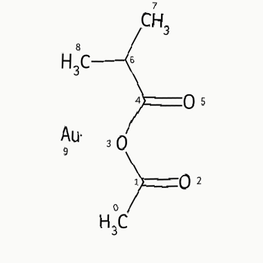 CC(=O)OC(=O)C(C)C.[Au]